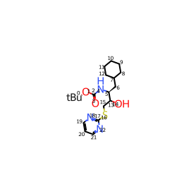 CC(C)(C)OC(=O)N[C@@H](CC1CCCCC1)C(O)CSc1ncccn1